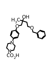 CC(O)(CCOCc1ccccc1)COc1ccc(N2CCN(C(=O)O)CC2)cc1